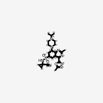 Cc1nc(-c2nnc(C)o2)c2cc(S(=O)(=O)NC3(C#N)CC3)cc(N3CCN(C(C)C)CC3)c2n1